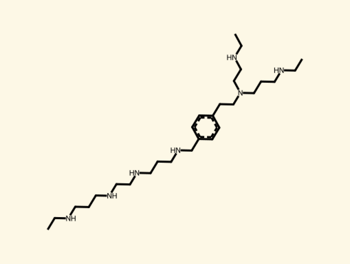 CCNCCCNCCNCCCNCc1ccc(CCN(CCCNCC)CCNCC)cc1